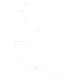 CC(CCNO)C1=CC(S(=O)(=O)NC2CCCCCC2)CC=C1